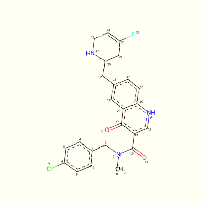 CN(Cc1ccc(Cl)cc1)C(=O)c1c[nH]c2ccc(CC3CC(F)=CCN3)cc2c1=O